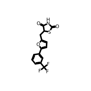 O=C1NC(=O)C(Cc2ccc(-c3cccc(C(F)(F)F)c3)o2)S1